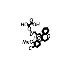 COc1cc([C@@H]2CCOc3ccccc3[C@@]2(O)CCCN(C)C)ccc1Cl.O=C(O)C(=O)O